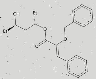 CC[C@@H](O)C[C@H](CC)OC(=O)C(=Cc1ccccc1)OCc1ccccc1